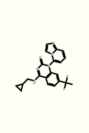 CC(F)(F)c1ccc2c(NCC3CC3)nc(=O)n(-c3cccc4nccn34)c2c1